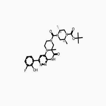 C[C@@H]1CN(C(=O)OC(C)(C)C)[C@@H](C)CN1C(=O)N1CCN2c3cc(-c4cccc(F)c4O)nnc3NC(=O)C2(C)C1